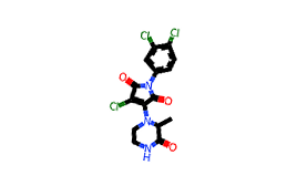 CC1C(=O)NCCN1C1=C(Cl)C(=O)N(c2ccc(Cl)c(Cl)c2)C1=O